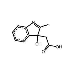 CC1=Nc2ccccc2C1(O)CC(=O)O